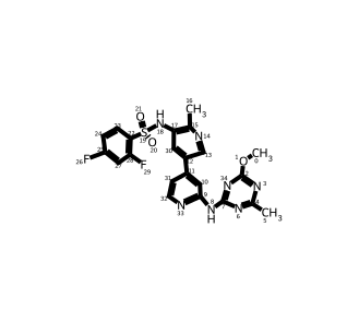 COc1nc(C)nc(Nc2cc(-c3cnc(C)c(NS(=O)(=O)c4ccc(F)cc4F)c3)ccn2)n1